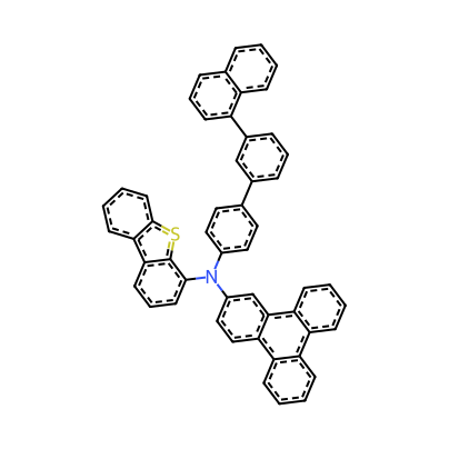 c1cc(-c2ccc(N(c3ccc4c5ccccc5c5ccccc5c4c3)c3cccc4c3sc3ccccc34)cc2)cc(-c2cccc3ccccc23)c1